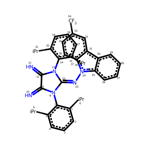 CC(C)c1cccc(C(C)C)c1N1C(=N)C(=N)N(c2c(C(C)C)cccc2C(C)C)C1=Nn1c2ccccc2c2cc(C(F)(F)F)ccc21